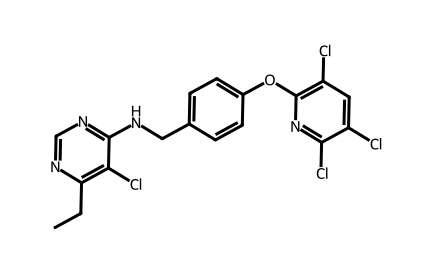 CCc1ncnc(NCc2ccc(Oc3nc(Cl)c(Cl)cc3Cl)cc2)c1Cl